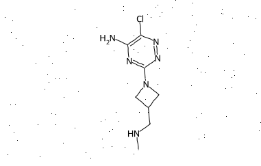 CNCC1CN(c2nnc(Cl)c(N)n2)C1